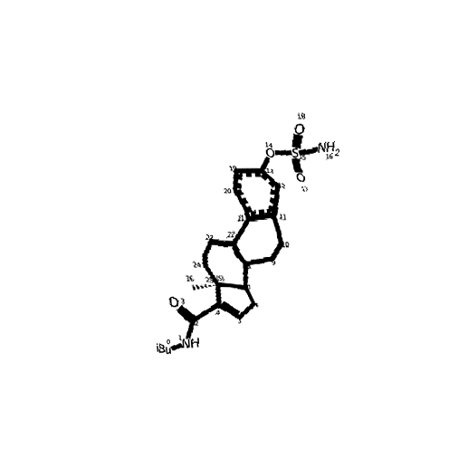 CCC(C)NC(=O)C1=CCC2C3CCc4cc(OS(N)(=O)=O)ccc4C3CC[C@]12C